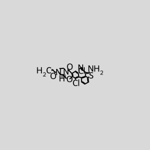 C=CC(=O)N1CCN2C(=O)c3cc(Cl)c(-c4cccc5sc(N)c(C#N)c45)c(Cl)c3OC[C@H]2C1